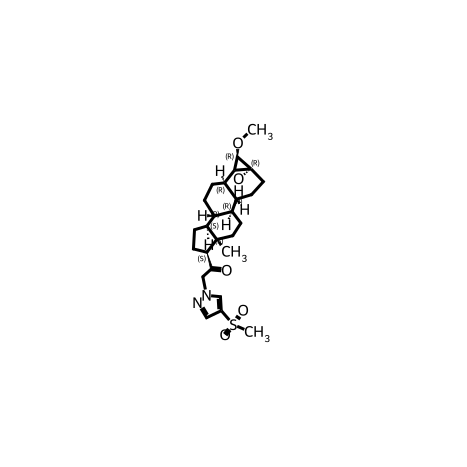 CO[C@@H]1C2[C@@H]3CC[C@@H]4[C@H](CC[C@]5(C)[C@@H](C(=O)Cn6cc(S(C)(=O)=O)cn6)CC[C@@H]45)[C@H]3CC[C@@]21O